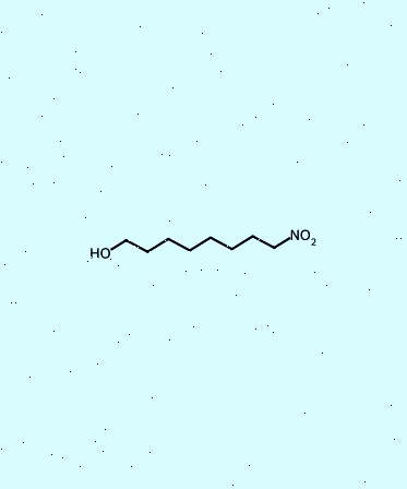 O=[N+]([O-])CCCCCCCCO